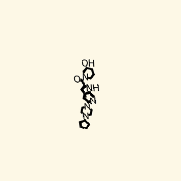 O=C(c1cc2cc(N3CCN(C4CCCC4)CC3)ncc2[nH]1)N1CCCC(O)C1